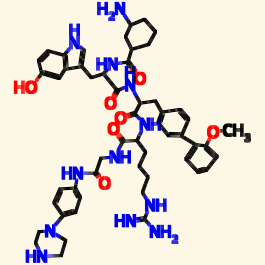 COc1ccccc1-c1ccc(CC(NC(=O)C(Cc2c[nH]c3ccc(O)cc23)NC(=O)C2CCCC(N)C2)C(=O)NC(CCCCNC(=N)N)C(=O)NCC(=O)Nc2ccc(N3CCNCC3)cc2)cc1